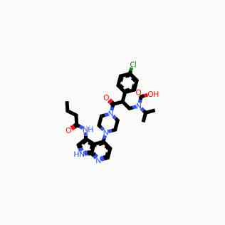 CCCC(=O)Nc1c[nH]c2nccc(N3CCN(C(=O)C(CN(C(=O)O)C(C)C)c4ccc(Cl)cc4)CC3)c12